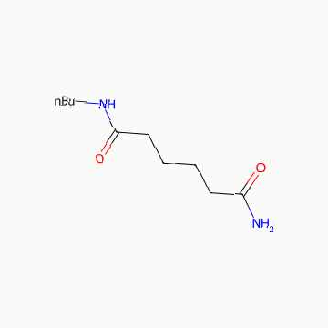 CCCCNC(=O)CCCCC(N)=O